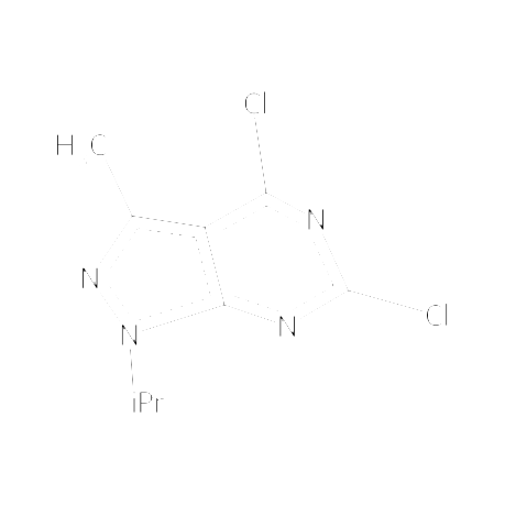 Cc1nn(C(C)C)c2nc(Cl)nc(Cl)c12